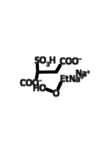 CCOO.O=C([O-])CC(C(=O)[O-])S(=O)(=O)O.[Na+].[Na+]